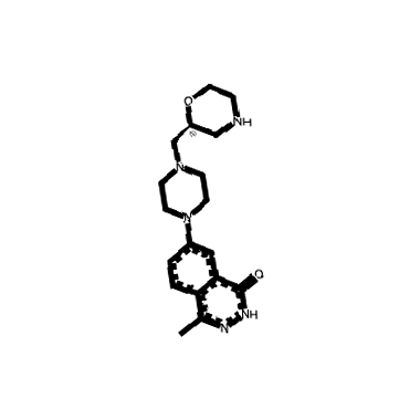 Cc1n[nH]c(=O)c2cc(N3CCN(C[C@@H]4CNCCO4)CC3)ccc12